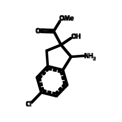 COC(=O)C1(O)Cc2cc(Cl)ccc2C1N